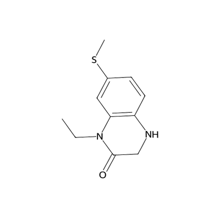 CCN1C(=O)CNc2ccc(SC)cc21